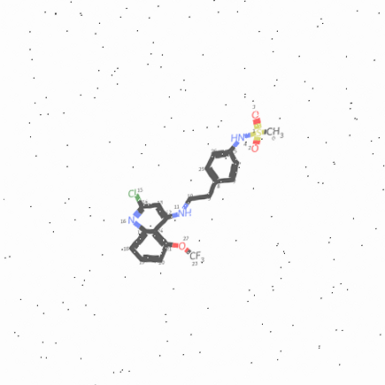 CS(=O)(=O)Nc1ccc(CCNc2cc(Cl)nc3cccc(OC(F)(F)F)c23)cc1